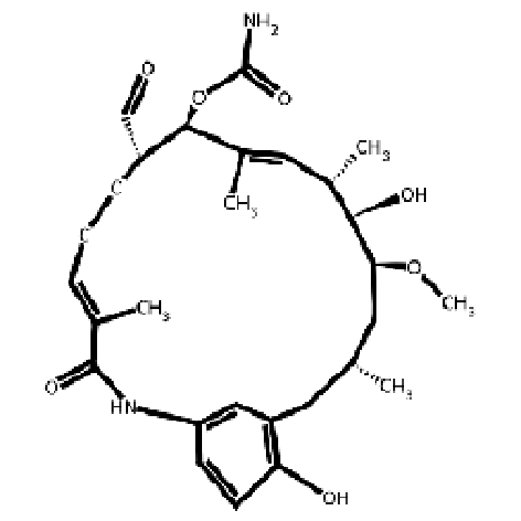 CO[C@H]1C[C@H](C)Cc2cc(ccc2O)NC(=O)/C(C)=C/CC[C@H](C=O)[C@@H](OC(N)=O)/C(C)=C/[C@H](C)[C@H]1O